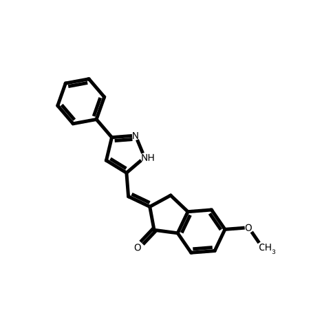 COc1ccc2c(c1)CC(=Cc1cc(-c3ccccc3)n[nH]1)C2=O